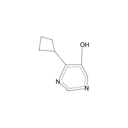 Oc1cn[c]nc1C1CCC1